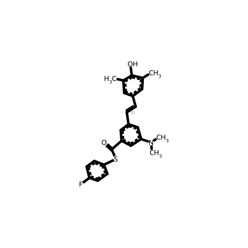 Cc1cc(/C=C/c2cc(C(=O)Sc3ccc(F)cc3)cc(N(C)C)c2)cc(C)c1O